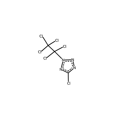 Clc1nnn(C(Cl)(Cl)C(Cl)(Cl)Cl)n1